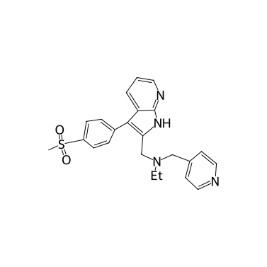 CCN(Cc1ccncc1)Cc1[nH]c2ncccc2c1-c1ccc(S(C)(=O)=O)cc1